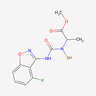 COC(=O)C(C)N(S)C(=O)Nc1noc2cccc(F)c12